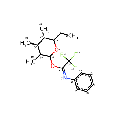 CCC1OC(O/C(=N/c2ccccc2)C(F)(F)F)C(C)[C@@H](C)[C@@H]1C